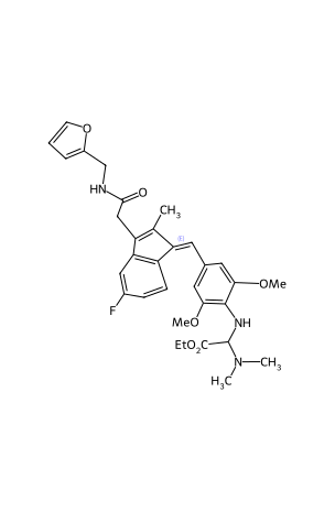 CCOC(=O)C(Nc1c(OC)cc(/C=C2/C(C)=C(CC(=O)NCc3ccco3)c3cc(F)ccc32)cc1OC)N(C)C